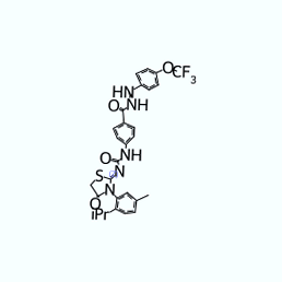 Cc1ccc(C(C)C)c(N2C(=O)CS/C2=N\C(=O)Nc2ccc(C(=O)NNc3ccc(OC(F)(F)F)cc3)cc2)c1